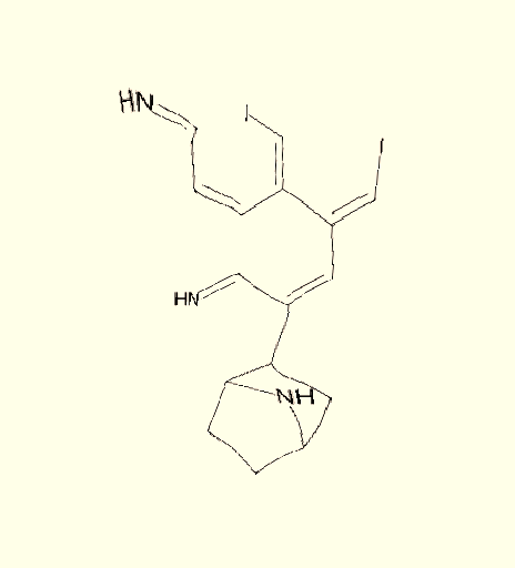 N=C\C=C/C(=C\I)C(=C\I)/C=C(\C=N)C1CC2CCC1N2